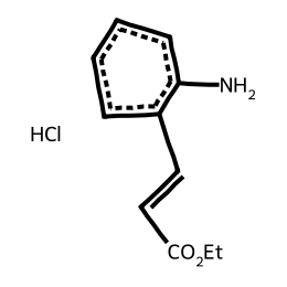 CCOC(=O)/C=C/c1ccccc1N.Cl